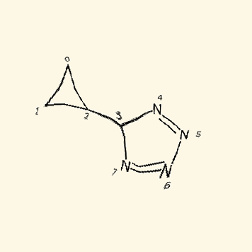 C1CC1C1N=NN=N1